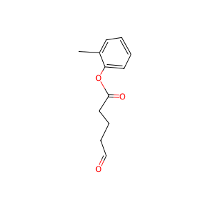 Cc1ccccc1OC(=O)CCCC=O